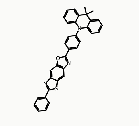 CC1(C)c2ccccc2N(c2ccc(-c3nc4cc5sc(-c6ccccc6)nc5cc4o3)cc2)c2ccccc21